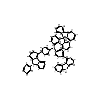 c1ccc(-n2c3ccccc3c3c(-c4ccc(N(c5ccc(-c6cccc7sc8ccccc8c67)cc5)c5cccc6c5-c5ccccc5C65c6ccccc6-c6ccccc65)cc4)cccc32)cc1